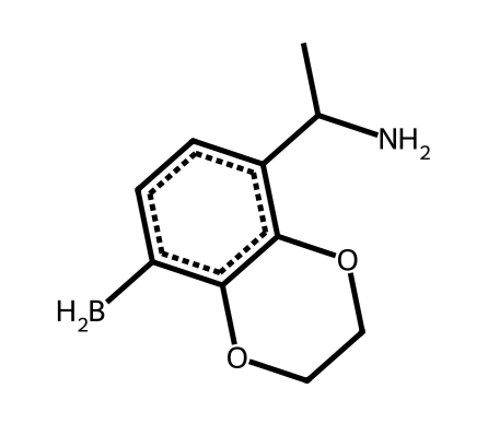 Bc1ccc(C(C)N)c2c1OCCO2